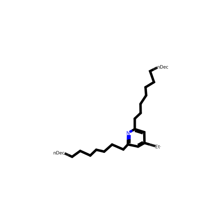 C[CH]c1cc(CCCCCCCCCCCCCCCCC)nc(CCCCCCCCCCCCCCCCC)c1